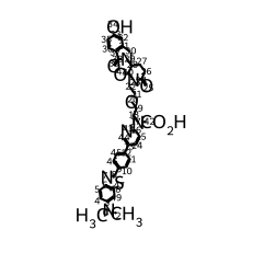 CN(C)c1ccc2nc(-c3ccc(-c4ccc(N(CCOCCN5C(=O)CCC(N6Cc7cc(O)ccc7C6=O)C5=O)C(=O)O)nc4)cc3)sc2c1